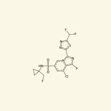 O=S(=O)(NC1(CF)CC1)c1cc(Cl)c2c(F)nc(-c3nnc(C(F)F)s3)n2c1